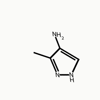 Cc1n[nH]cc1N